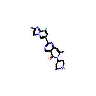 Cc1cn2cc(-c3ncc4c(=O)n(C5CCNCC5)c(C)cc4n3)cc(F)c2n1